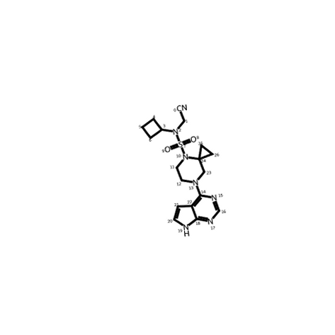 N#CCN(C1CCC1)S(=O)(=O)N1CCN(c2ncnc3[nH]ccc23)CC12CC2